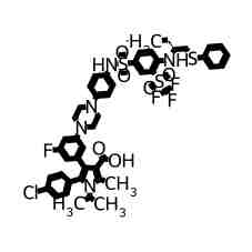 [CH2]C[C@H](CSc1ccccc1)Nc1ccc(S(=O)(=O)Nc2ccc(N3CCN(c4cc(F)cc(-c5c(C(=O)O)c(C)n(C(C)C)c5-c5ccc(Cl)cc5)c4)CC3)cc2)cc1S(=O)(=O)C(F)(F)F